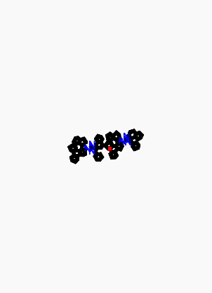 c1ccc(-c2nc(-n3c4ccc5ccccc5c4c4c5c6ccccc6c6ccccc6c5ccc43)nc3c2cc(-c2ccc4c(c2)c2ccccc2c2ccc5c(c24)c2c4ccccc4ccc2n5-c2nc(-c4ccccc4)c4c(ccc5ccccc54)n2)c2ccccc23)cc1